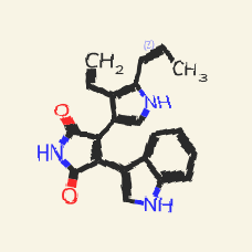 C=Cc1c(C2=C(c3c[nH]c4ccccc34)C(=O)NC2=O)c[nH]c1/C=C\C